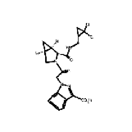 O=C(O)c1nn(CC(=O)N2C[C@H]3C[C@H]3[C@H]2C(=O)NC[C@H]2CC2(Cl)Cl)c2ccccc12